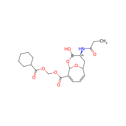 CCC(=O)N[C@H]1CC2C=CC=C(C(=O)OCOC(=O)C3CCCCC3)C(OB1O)O2